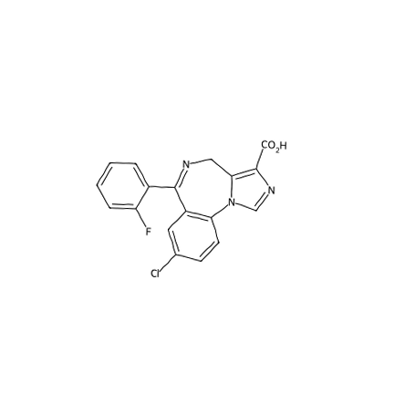 O=C(O)c1ncn2c1CN=C(c1ccccc1F)c1cc(Cl)ccc1-2